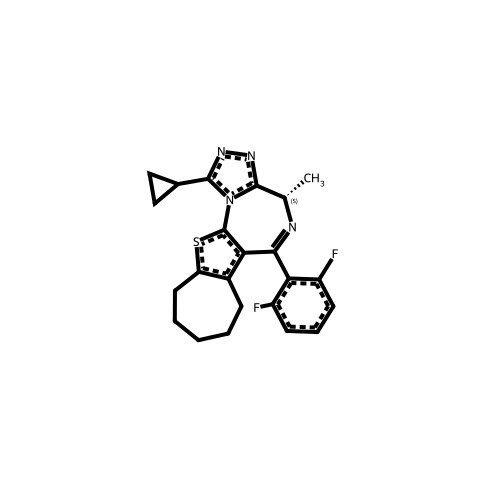 C[C@@H]1N=C(c2c(F)cccc2F)c2c(sc3c2CCCCC3)-n2c(C3CC3)nnc21